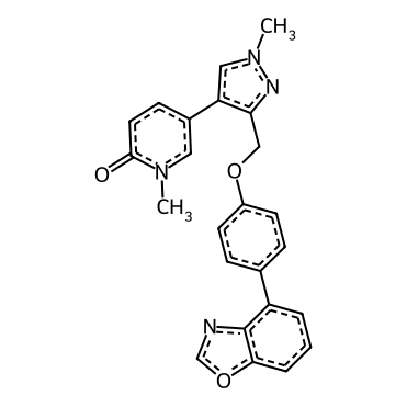 Cn1cc(-c2ccc(=O)n(C)c2)c(COc2ccc(-c3cccc4ocnc34)cc2)n1